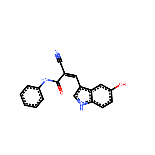 N#CC(=Cc1c[nH]c2ccc(O)cc12)C(=O)Nc1ccccc1